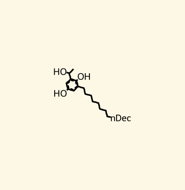 CCCCCCCCCCCCCCCCCCc1cc(O)cc(C(C)O)c1O